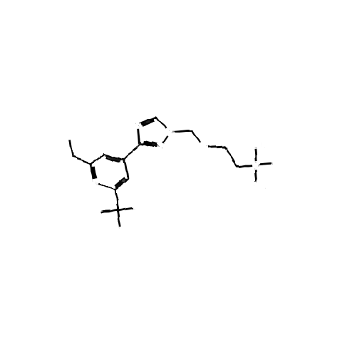 C[Si](C)(C)CCOCn1cnc(-c2cc(CF)nc(C(F)(F)F)c2)n1